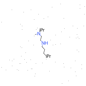 CC(C)CCCNCCN(C)C(C)C